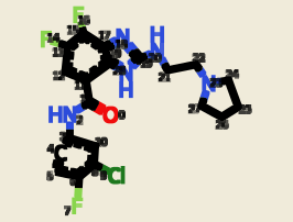 O=C(Nc1ccc(F)c(Cl)c1)c1cc(F)c(F)c2nc(NCCN3CCCC3)[nH]c12